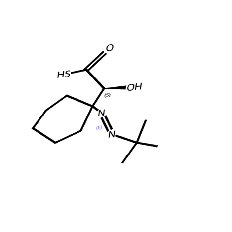 CC(C)(C)/N=N/C1([C@H](O)C(=O)S)CCCCC1